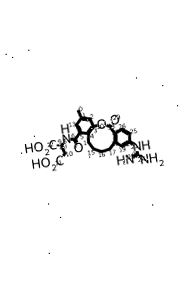 Cc1cc2c(c(C(=O)N[C@@H](CC(=O)O)C(=O)O)c1)CCCCc1cc(NC(=N)N)ccc1C(=O)O2